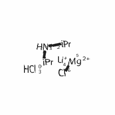 CC(C)NC(C)C.Cl.[Li+].[Mg+2][Cl]